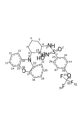 N=S(=O)(NC1CCCC(N2c3ccccc3Oc3ccccc32)[C@H]1O)c1ccc(OC(F)(F)F)cc1